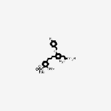 CCCCS(=O)(=O)Oc1ccc(CCCc2ccc(CC(C)C(=O)O)cc2OCc2ccc(F)cc2)cc1OC